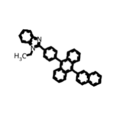 CCn1c(-c2ccc(-c3c4ccccc4c(-c4ccc5ccccc5c4)c4ccccc34)cc2)nc2ccccc21